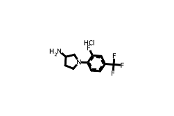 Cl.NC1CCN(c2ccc(C(F)(F)F)cc2F)C1